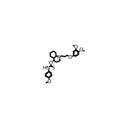 COc1ccc(NC(=S)OC2CCN(CCCOc3ccc(OC)c(OC)c3)C3CCCCC23)cc1